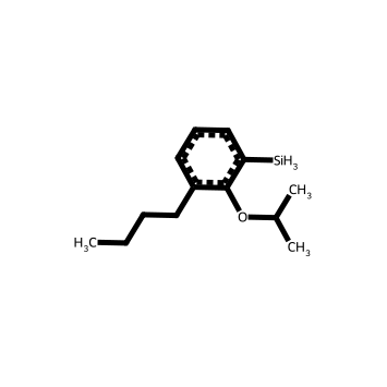 CCCCc1cccc([SiH3])c1OC(C)C